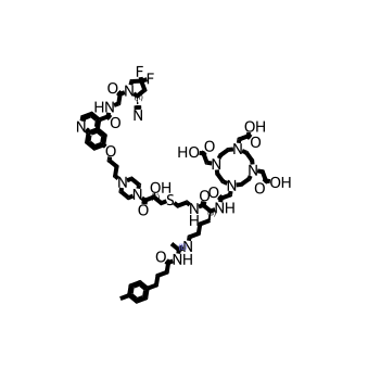 C/C(=N\CCCC[C@H](NC(=O)CN1CCN(CC(=O)O)CCN(CC(=O)O)CCN(CC(=O)O)CC1)C(=O)NCCSC[C@@H](O)C(=O)N1CCN(CCCOc2ccc3nccc(C(=O)NCC(=O)N4CC(F)(F)C[C@@H]4C#N)c3c2)CC1)NC(=O)CCCc1ccc(C)cc1